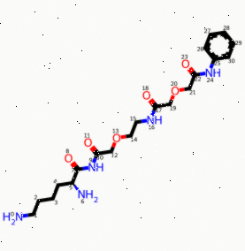 NCCCC[C@H](N)C(=O)NC(=O)COCCNC(=O)COCC(=O)Nc1ccccc1